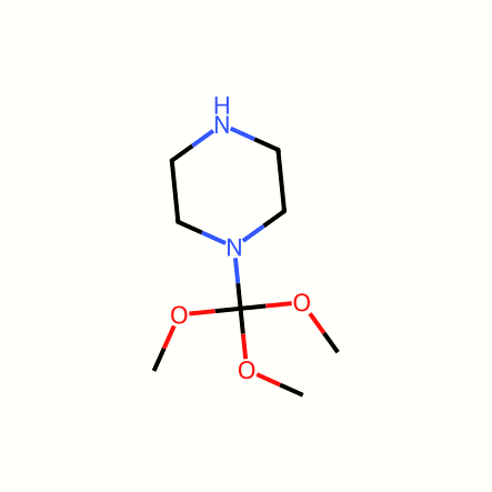 COC(OC)(OC)N1CCNCC1